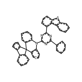 c1ccc(-c2nc(-c3cccc4sc5ccccc5c34)nc(N3c4ccccc4C4(c5ccccc5-c5ccccc54)c4ccccc43)n2)cc1